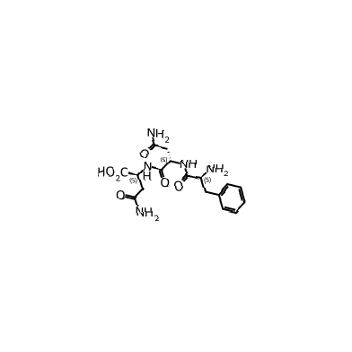 NC(=O)C[C@H](NC(=O)[C@H](CC(N)=O)NC(=O)[C@@H](N)Cc1ccccc1)C(=O)O